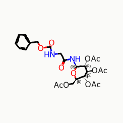 CC(=O)OC[C@H]1O[C@@H](NC(=O)CNC(=O)OCc2ccccc2)[C@H](OC(C)=O)[C@@H](OC(C)=O)[C@@H]1OC(C)=O